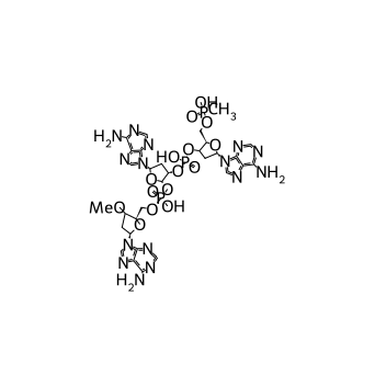 COC1C[C@H](n2cnc3c(N)ncnc32)O[C@@H]1COP(=O)(O)O[C@H]1O[C@@H](n2cnc3c(N)ncnc32)C[C@H]1OP(=O)(O)OC1C[C@H](n2cnc3c(N)ncnc32)O[C@@H]1COP(C)(=O)O